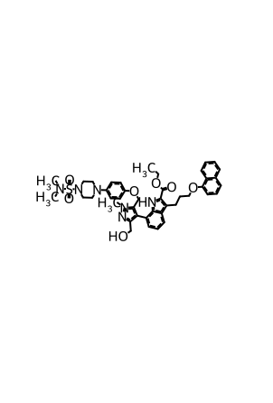 CCOC(=O)c1[nH]c2c(-c3c(CO)nn(C)c3COc3ccc(N4CCN(S(=O)(=O)N(C)C)CC4)cc3)cccc2c1CCCOc1cccc2ccccc12